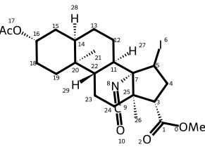 COC(=O)[C@H]1CC(I)[C@]2(N=C=O)[C@@H]3CC[C@@H]4C[C@@H](OC(C)=O)CC[C@]4(C)[C@H]3CC[C@]12C